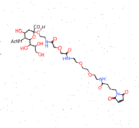 CC(=O)NC1C(O)CC(OCCNC(=O)COCC(=O)NCCOCCOCCNC(=O)CCCN2C(=O)C=CC2=O)(C(=O)O)OC1C(O)C(O)CO